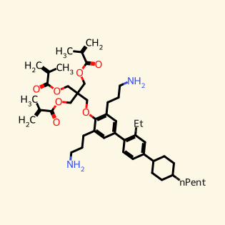 C=C(C)C(=O)OCC(COC(=O)C(=C)C)(COC(=O)C(=C)C)COc1c(CCCN)cc(-c2ccc(C3CCC(CCCCC)CC3)cc2CC)cc1CCCN